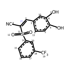 N#C/C(=C/c1ccc(O)c(O)c1)S(=O)(=O)c1cccc(C(F)(F)F)c1